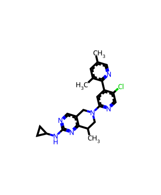 Cc1cnc(-c2cc(N3Cc4cnc(NC5CC5)nc4C(C)C3)ncc2Cl)c(C)c1